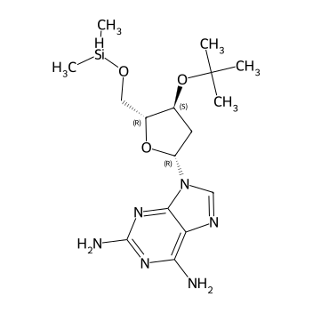 C[SiH](C)OC[C@H]1O[C@@H](n2cnc3c(N)nc(N)nc32)C[C@@H]1OC(C)(C)C